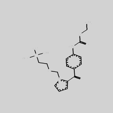 CCOC(=O)Nc1ccc(C(=O)c2cccn2COCC[Si](C)(C)C)cc1